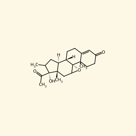 CC(=O)[C@@]1(O)C(C)C[C@H]2[C@@H]3CCC4=CC(=O)CC[C@]4(C)[C@]34OC4C[C@@]21C